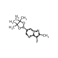 Cc1nn2cc(B3OC(C)(C)C(C)(C)O3)cnc2c1F